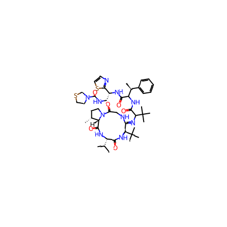 CC(C)[C@@H]1NC(=O)[C@@H]2[C@H](C)CCN2C(=O)CN/C(=N\C(C(=O)NC(C(=O)N[C@H](CNC(=O)N2CCSC2)c2nccs2)[C@@H](C)c2ccccc2)C(C)(C)C)C(C(C)(C)C)NC1=O